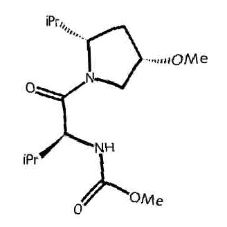 COC(=O)N[C@H](C(=O)N1C[C@@H](OC)C[C@H]1C(C)C)C(C)C